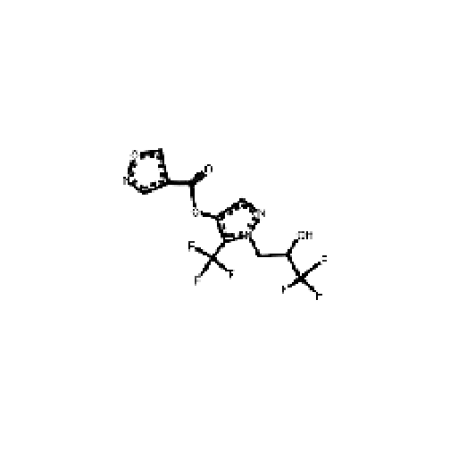 O=C(Oc1cnn(CC(O)C(F)(F)F)c1C(F)(F)F)c1cnoc1